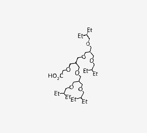 CCC(CC)COCC(COCC(CC)CC)COCC(COCC(=O)O)COCC(COCC(CC)CC)COCC(CC)CC